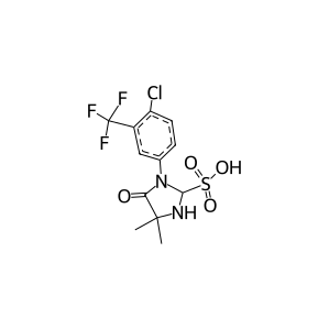 CC1(C)NC(S(=O)(=O)O)N(c2ccc(Cl)c(C(F)(F)F)c2)C1=O